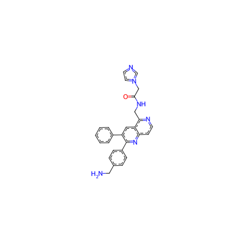 NCc1ccc(-c2nc3ccnc(CNC(=O)Cn4ccnc4)c3cc2-c2ccccc2)cc1